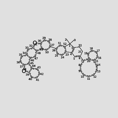 CC1(C)C2=C(C=C(c3cccccccc4ccccc34)CC2)c2ccc(-c3ccc4oc5cc6ccc7oc8ccccc8c7c6cc5c4c3)cc21